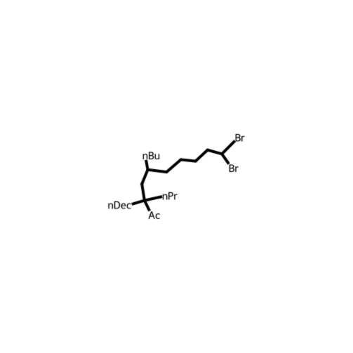 CCCCCCCCCCC(CCC)(CC(CCCC)CCCCC(Br)Br)C(C)=O